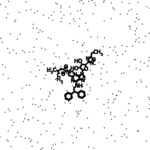 CCc1nc([C@H]2O[C@@H](n3cnc4c(NCC(c5ccccc5)c5ccccc5)nc(CNS(=O)(=O)CC(C)C)nc43)[C@@H](O)[C@@H]2O)no1